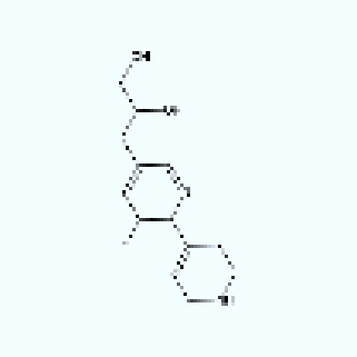 OCC(O)Cc1cnc(C2=CCNCC2)c(F)c1